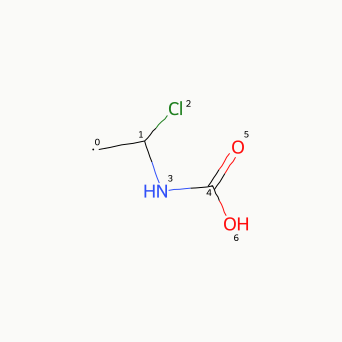 [CH2]C(Cl)NC(=O)O